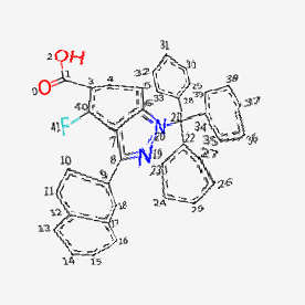 O=C(O)c1ccc2c(c(-c3ccc4ccccc4c3)nn2C(c2ccccc2)(c2ccccc2)c2ccccc2)c1F